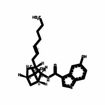 CC1(C)[C@H]2C[C@H](C/C=C/CCCC(=O)O)[C@@H](NC(=O)c3csc4ccc(O)cc34)[C@@H]1C2